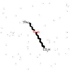 CCCCCCCCCCCCCCCOC(=O)CCCCCCCCC(=O)O